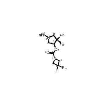 CCCN1CC(OC(=O)N2CC(F)(F)C2)C(F)(F)C1